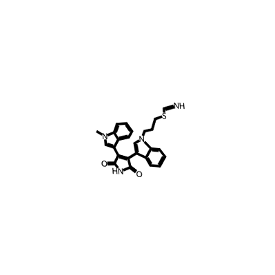 Cn1cc(C2=C(c3cn(CCCSC=N)c4ccccc34)C(=O)NC2=O)c2ccccc21